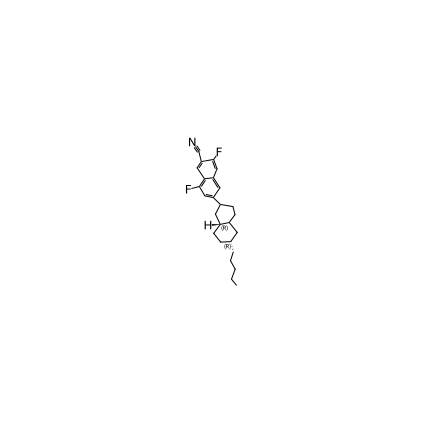 CCCCC[C@@H]1CC[C@@H]2CC(c3cc(F)c4cc(C#N)c(F)cc4c3)CCC2C1